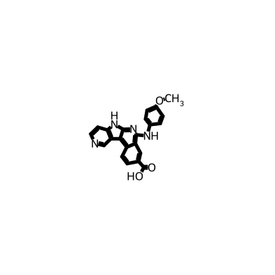 COc1ccc(Nc2nc3[nH]c4ccncc4c3c3ccc(C(=O)O)cc23)cc1